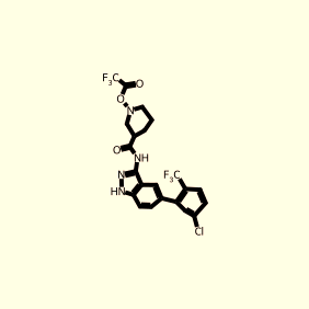 O=C(Nc1n[nH]c2ccc(-c3cc(Cl)ccc3C(F)(F)F)cc12)C1CCCN(OC(=O)C(F)(F)F)C1